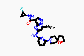 CNc1cc(Nc2cccc(N3CCC4(CCCO4)CC3)n2)nc2c(C(=O)N[C@H]3C[C@H]3F)cnn12